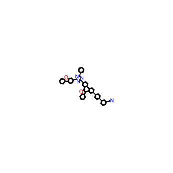 N#Cc1cccc(-c2ccc(-c3ccc4c5ccc(-c6nc(-c7ccccc7)nc(-c7ccc8c(c7)oc7ccccc78)n6)cc5c5oc6ccccc6c5c4c3)cc2)c1